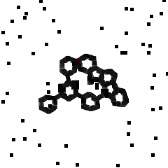 c1ccc(-c2cc(-c3cccc(-n4c5ccccc5c5ccc6c7ccccc7sc6c54)c3)nc(-c3ccccc3)n2)cc1